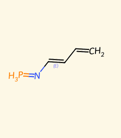 C=C/C=C/N=[PH3]